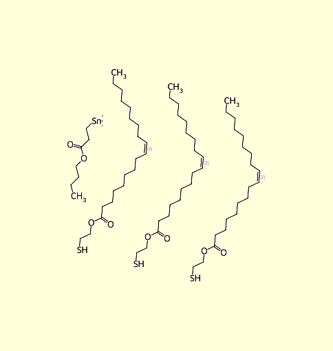 CCCCCCCC/C=C\CCCCCCCC(=O)OCCS.CCCCCCCC/C=C\CCCCCCCC(=O)OCCS.CCCCCCCC/C=C\CCCCCCCC(=O)OCCS.CCCCOC(=O)C[CH2][Sn]